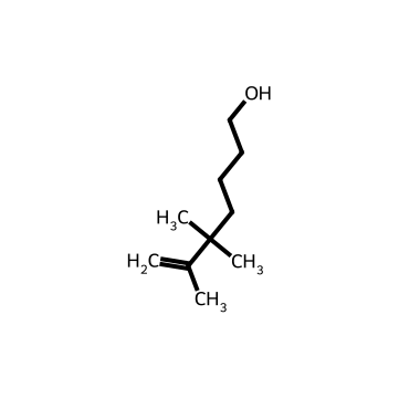 C=C(C)C(C)(C)CCCCO